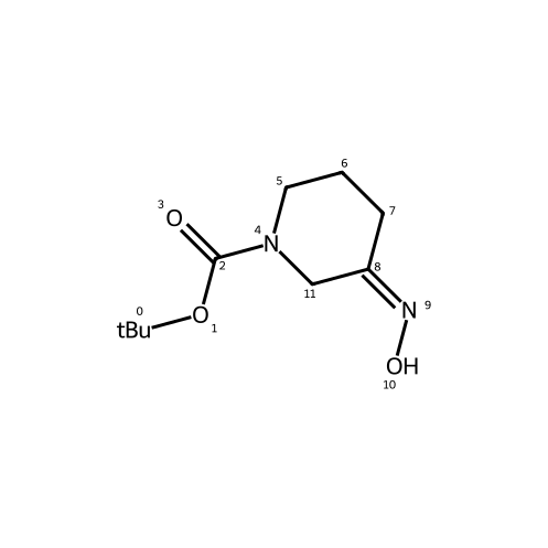 CC(C)(C)OC(=O)N1CCCC(=NO)C1